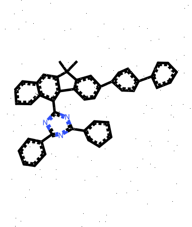 CC1(C)c2cc(-c3ccc(-c4ccccc4)cc3)ccc2-c2c1cc1ccccc1c2-c1nc(-c2ccccc2)nc(-c2ccccc2)n1